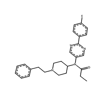 CCC(=O)N(c1cnc(-c2ccc(F)cc2)nc1)C1CCN(CCc2ccccc2)CC1